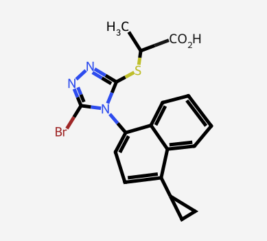 CC(Sc1nnc(Br)n1-c1ccc(C2CC2)c2ccccc12)C(=O)O